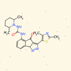 Cc1nc(C)c(C2=C3C(=O)c4c(NC(=O)NN5C(C)CCCC5C)cccc4C3N=N2)s1